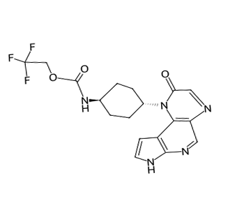 O=C(N[C@H]1CC[C@H](n2c(=O)cnc3cnc4[nH]ccc4c32)CC1)OCC(F)(F)F